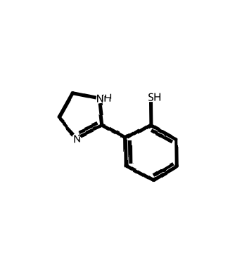 Sc1ccccc1C1=NCCN1